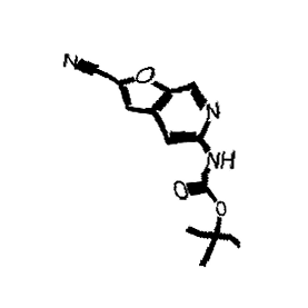 CC(C)(C)OC(=O)Nc1cc2cc(C#N)oc2cn1